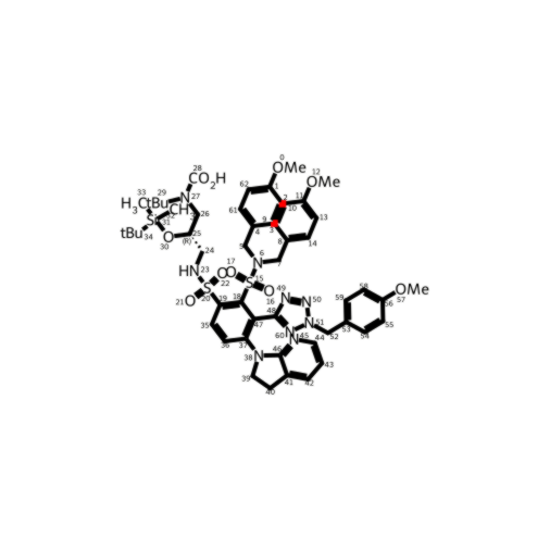 COc1ccc(CN(Cc2ccc(OC)cc2)S(=O)(=O)c2c(S(=O)(=O)NC[C@@H](CN(C(=O)O)C(C)(C)C)O[Si](C)(C)C(C)(C)C)ccc(N3CCc4cccnc43)c2-c2nnn(Cc3ccc(OC)cc3)n2)cc1